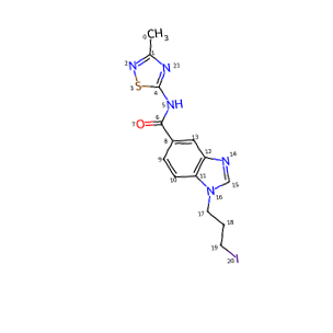 Cc1nsc(NC(=O)c2ccc3c(c2)ncn3CCCI)n1